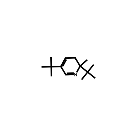 CC(C)(C)C1=CCC(C)(C(C)(C)C)N=C1